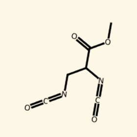 COC(=O)C(CN=C=O)N=C=O